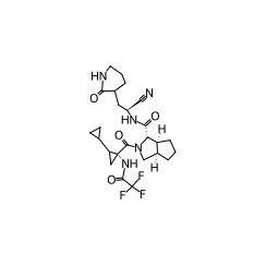 N#C[C@H](CC1CCCNC1=O)NC(=O)[C@@H]1[C@H]2CCC[C@H]2CN1C(=O)[C@@]1(NC(=O)C(F)(F)F)CC1C1CC1